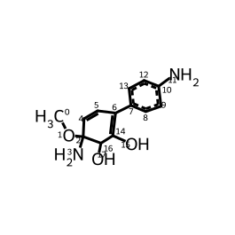 COC1(N)C=CC(c2ccc(N)cc2)=C(O)C1O